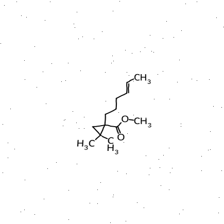 CC=CCCCC1(C(=O)OC)CC1(C)C